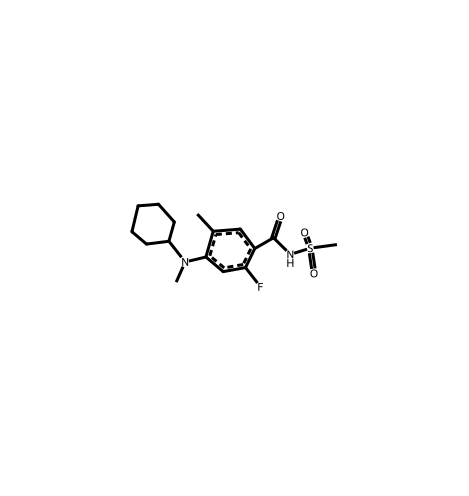 Cc1cc(C(=O)NS(C)(=O)=O)c(F)cc1N(C)C1CCCCC1